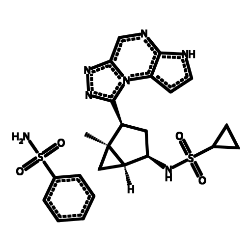 C[C@@]12C[C@@H]1[C@H](NS(=O)(=O)C1CC1)C[C@@H]2c1nnc2cnc3[nH]ccc3n12.NS(=O)(=O)c1ccccc1